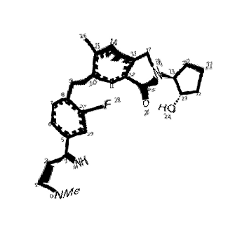 CN/C=C\C(=N)c1ccc(Cc2cc3c(cc2C)CN([C@H]2CCC[C@@H]2O)C3=O)c(F)c1